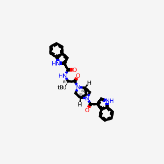 CC(C)(C)[C@H](NC(=O)c1cc2ccccc2[nH]1)C(=O)N1C[C@@H]2C[C@H]1CN2C(=O)c1c[nH]c2ccccc12